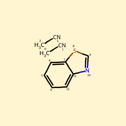 CC#N.CC#N.c1ccc2scnc2c1